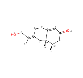 C/C(CO)=C1/CCC2=CC(=O)C[C@@H](C)[C@]2(C)C1